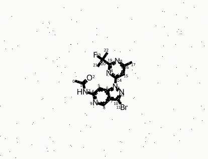 CC(=O)Nc1cc2c(cn1)c(Br)nn2-c1cc(C)nc(C(C)(C)F)n1